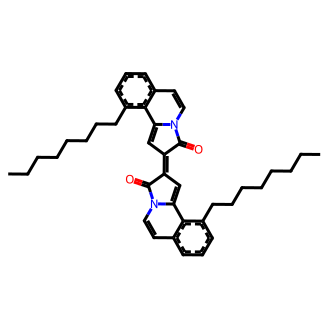 CCCCCCCCc1cccc2c1C1=C/C(=C3/C=C4c5c(cccc5CCCCCCCC)C=CN4C3=O)C(=O)N1C=C2